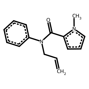 C=CCN(C(=O)c1cccn1C)c1ccccc1